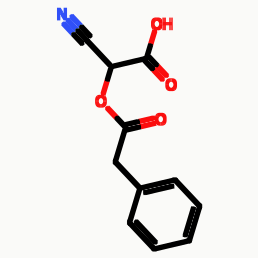 N#CC(OC(=O)Cc1ccccc1)C(=O)O